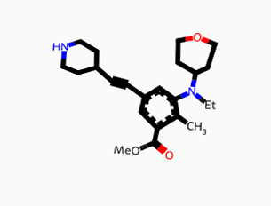 CCN(c1cc(C#CC2CCNCC2)cc(C(=O)OC)c1C)C1CCOCC1